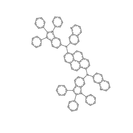 c1ccc(-c2c(-c3ccccc3)n(-c3ccccc3)c3cc(N(c4ccc5cccnc5c4)c4ccc5ccc6c(N(c7ccc8cccnc8c7)c7ccc8c(-c9ccccc9)c(-c9ccccc9)n(-c9ccccc9)c8c7)ccc7ccc4c5c76)ccc23)cc1